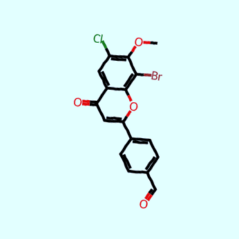 COc1c(Cl)cc2c(=O)cc(-c3ccc(C=O)cc3)oc2c1Br